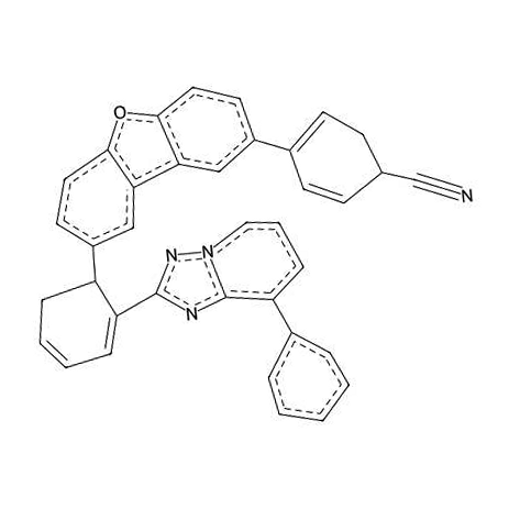 N#CC1C=CC(c2ccc3oc4ccc(C5CC=CC=C5c5nc6c(-c7ccccc7)cccn6n5)cc4c3c2)=CC1